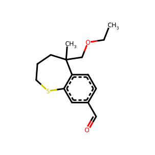 CCOCC1(C)CCCSc2cc(C=O)ccc21